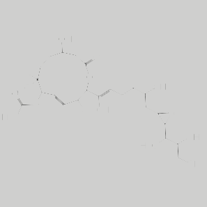 CCC(O)C(C)C1OC1CC(C)CC/C=C(\C)C1OC(=O)CC(O)CCC(C)(O)C(OC(C)=O)/C=C/C1C